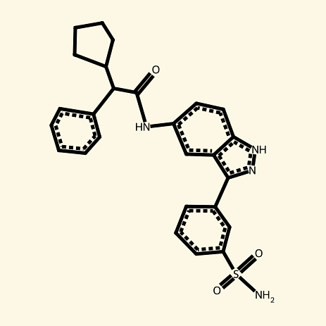 NS(=O)(=O)c1cccc(-c2n[nH]c3ccc(NC(=O)C(c4ccccc4)C4CCCC4)cc23)c1